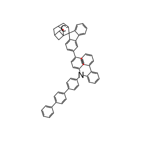 c1ccc(-c2ccc(-c3ccc(N(c4ccc(-c5ccc6c(c5)-c5ccccc5C65C6CC7CC8CC5(C7)C8C6)cc4)c4ccccc4-c4ccccc4)cc3)cc2)cc1